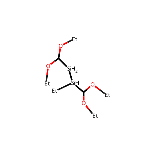 CCOC(OCC)[SiH2][SiH](CC)C(OCC)OCC